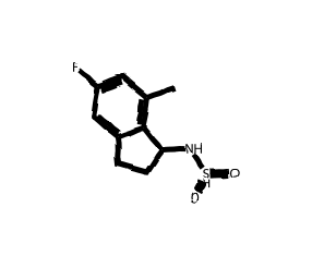 Cc1cc(F)cc2c1C(N[SH](=O)=O)CC2